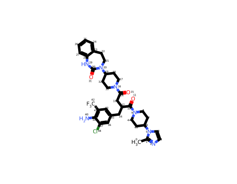 Cc1nccn1C1CCN(C(=O)C(CC(=O)N2CCC(N3CCc4ccccc4NC3=O)CC2)Cc2cc(Cl)c(N)c(C(F)(F)F)c2)CC1